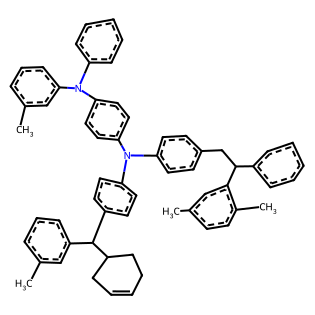 Cc1cccc(C(c2ccc(N(c3ccc(CC(c4ccccc4)c4cc(C)ccc4C)cc3)c3ccc(N(c4ccccc4)c4cccc(C)c4)cc3)cc2)C2CC=CCC2)c1